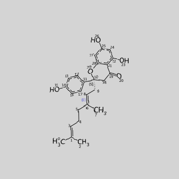 CC(C)=CCC/C(C)=C/C[C@@]1(c2ccc(O)cc2)CC(=O)c2c(O)cc(O)cc2O1